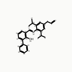 C=CCc1cc(C(C)C)c(/N=C/c2cccc(-c3ccccc3)c2O)c(C(C)C)c1